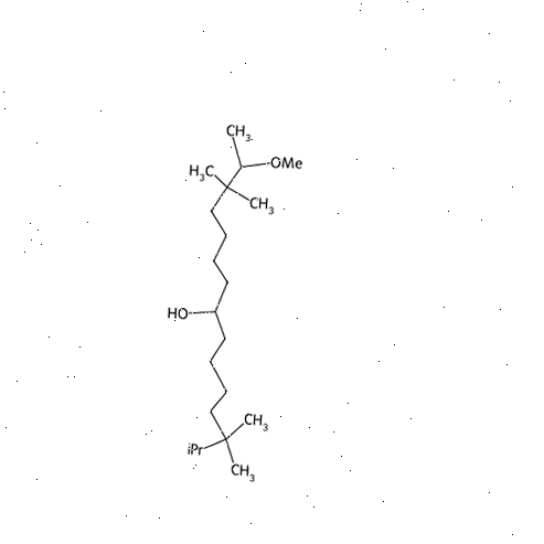 COC(C)C(C)(C)CCCCC(O)CCCCC(C)(C)C(C)C